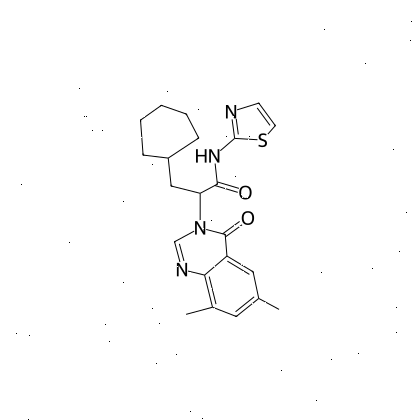 Cc1cc(C)c2ncn(C(CC3CCCCC3)C(=O)Nc3nccs3)c(=O)c2c1